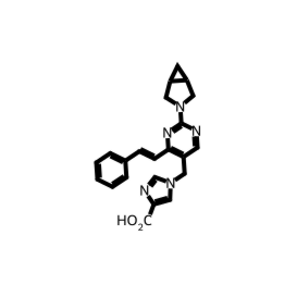 O=C(O)c1cn(Cc2cnc(N3CC4CC4C3)nc2/C=C/c2ccccc2)cn1